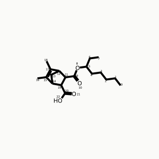 CCCCCC(CC)OC(=O)C1C2CC(C(C)=C2C)C1C(=O)O